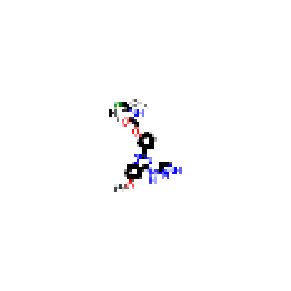 CC(C)Oc1ccc2nc(-c3cccc(OCC(=O)NC(C)(C)CF)c3)nc(Nc3cc[nH]n3)c2c1